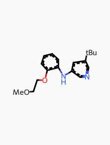 COCCOc1ccccc1Nc1cncc(C(C)(C)C)c1